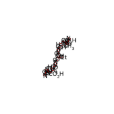 CCOCC(CO)(COCC(=O)N1CCN(C(=O)Oc2ccc(C[C@H](NC(=O)[C@H]3N(S(=O)(=O)c4cccnc4)CSC3(C)C)C(=O)O)cc2)CC1)COCC(=O)N1CCN(C(=O)Oc2ccc(C[C@H](NC(=O)[C@H]3N(S(=O)(=O)c4cccnc4)CSC3(C)C)C(=O)O)cc2)CC1